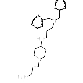 NCCCN1CCC(NCCCN(Cc2ccccc2)Cc2ccccc2)CC1